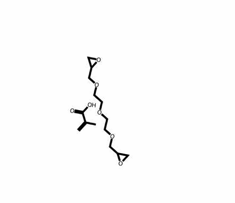 C(COCC1CO1)OCCOCC1CO1.C=C(C)C(=O)O